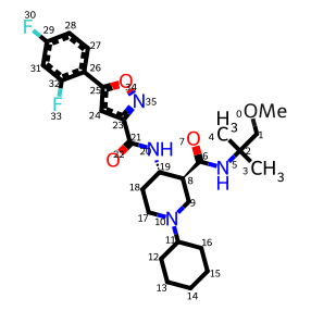 COCC(C)(C)NC(=O)[C@H]1CN(C2CCCCC2)CC[C@@H]1NC(=O)c1cc(-c2ccc(F)cc2F)on1